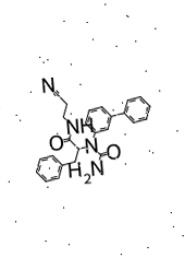 N#CCCNC(=O)C(Cc1ccccc1)N(C(N)=O)c1cccc(-c2ccccc2)c1